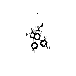 CCNC(=O)N[C@@]12CC[C@@H](c3ccc(Cl)cc3Cl)[C@H](c3ccc(Cl)cc3)[C@@H]1CNC2=O